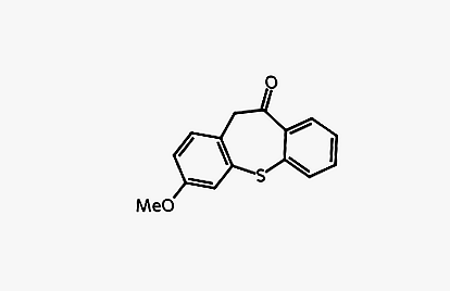 COc1ccc2c(c1)Sc1ccccc1C(=O)C2